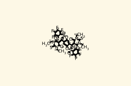 CCN1C(=O)C(=Cc2cc(OS(=O)(=O)c3c(F)c(F)c(F)c(F)c3F)c(C=C3C(=O)N(CC)C(=S)N(CC)C3=O)cc2OS(=O)(=O)c2c(F)c(F)c(F)c(F)c2F)C(=O)N(CC)C1=S